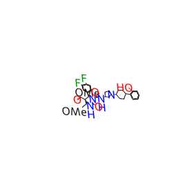 COCC1=C(C(=O)OC)[C@H](c2ccc(F)c(F)c2)N(C(=O)N[C@@H]2CCN(C3CCC(c4ccccc4O)CC3)C2)C(=O)N1